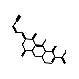 C#C/C=C\C=C1/CC(=C)C2CC3CC=C(C(=C)I)C(=C)C3C(C)=C2C1=C